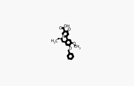 CC[C@@H]1Cc2cc(OCc3ccccc3)c(OC)cc2-c2cc(=O)c(C(=O)O)cn21